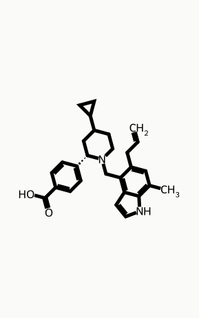 C=CCc1cc(C)c2[nH]ccc2c1CN1CCC(C2CC2)C[C@H]1c1ccc(C(=O)O)cc1